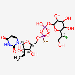 C=C[C@@]1(O)[C@H](O)[C@@H](COP(=O)(S)OP(=O)(O)OC2OC([C@@H](F)CO)C(O)C(O)C2O)O[C@H]1n1ccc(=O)[nH]c1=O